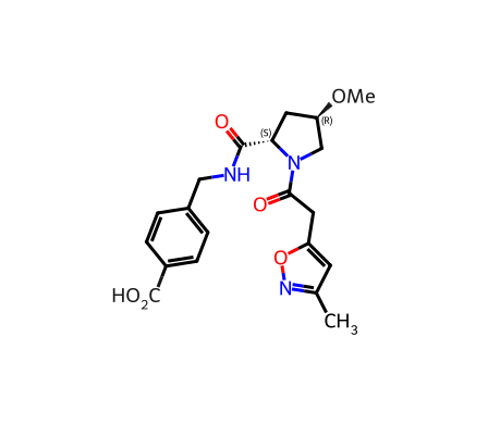 CO[C@@H]1C[C@@H](C(=O)NCc2ccc(C(=O)O)cc2)N(C(=O)Cc2cc(C)no2)C1